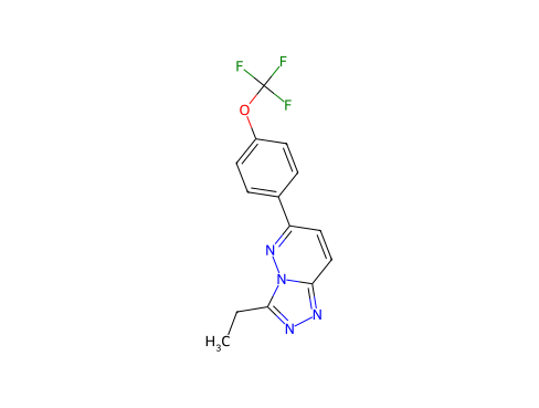 CCc1nnc2ccc(-c3ccc(OC(F)(F)F)cc3)nn12